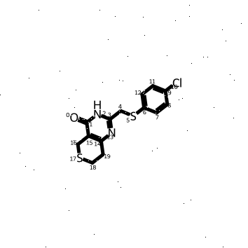 O=c1[nH]c(CSc2ccc(Cl)cc2)nc2c1CSCC2